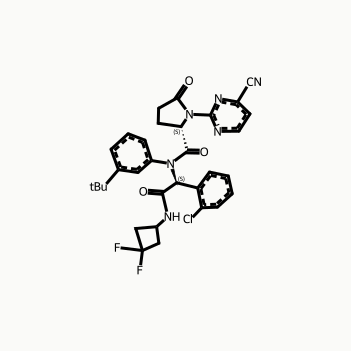 CC(C)(C)c1cccc(N(C(=O)[C@@H]2CCC(=O)N2c2nccc(C#N)n2)[C@H](C(=O)NC2CC(F)(F)C2)c2ccccc2Cl)c1